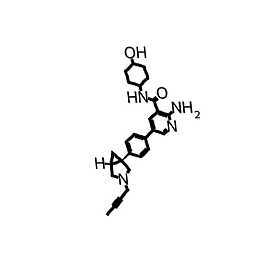 CC#CCN1C[C@@H]2C[C@]2(c2ccc(-c3cnc(N)c(C(=O)NC4CCC(O)CC4)c3)cc2)C1